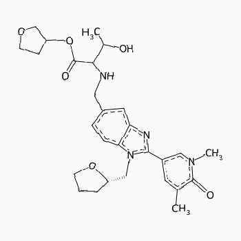 Cc1cc(-c2nc3cc(CNC(C(=O)OC4CCOC4)C(C)O)ccc3n2C[C@@H]2CCCO2)cn(C)c1=O